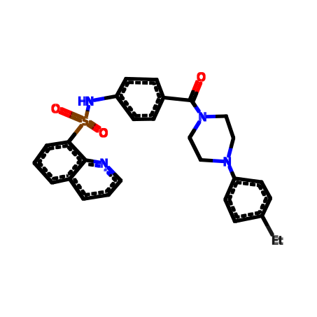 CCc1ccc(N2CCN(C(=O)c3ccc(NS(=O)(=O)c4cccc5cccnc45)cc3)CC2)cc1